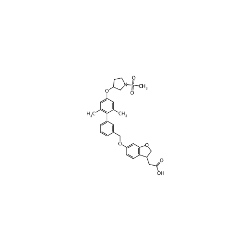 Cc1cc(OC2CCN(S(C)(=O)=O)C2)cc(C)c1-c1cccc(COc2ccc3c(c2)OCC3CC(=O)O)c1